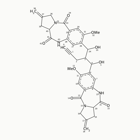 C#CCC(C(O)c1cc2c(cc1OC)C(=O)N1CC(=C)CC1C(=O)N2)C(O)c1cc2c(cc1OC)C(=O)N1CC(=C)CC1C(=O)N2